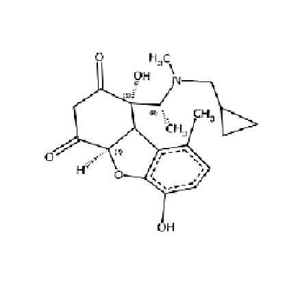 Cc1ccc(O)c2c1C1[C@@H](O2)C(=O)CC(=O)[C@@]1(O)[C@@H](C)N(C)CC1CC1